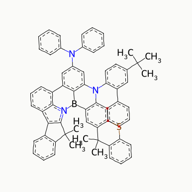 CC(C)(C)c1ccc(N2c3cc4c(cc3B3c5c(cc(N(c6ccccc6)c6ccccc6)cc52)-c2cccc5c6c(n3c25)C(C)(C)c2ccccc2-6)C(C)(C)c2ccccc2S4)c(-c2ccccc2)c1